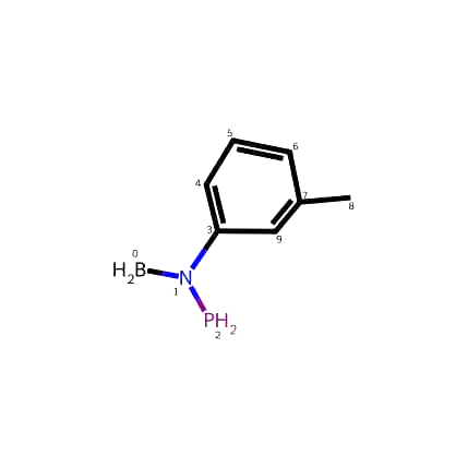 BN(P)c1cccc(C)c1